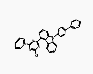 Clc1nc(-c2ccccc2)nc(-c2cccc3c2c2ccccc2n3-c2ccc(-c3ccccc3)cc2)n1